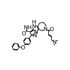 CN(C)CC=CC(=O)N1CCCc2[nH]c3c(C(N)=O)c(-c4ccc(Oc5ccccc5)cc4)nn3c2C1